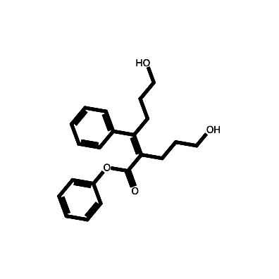 O=C(Oc1ccccc1)C(CCCO)=C(CCCO)c1ccccc1